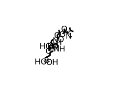 CC(OC(=O)[C@H](C(C)C)N(C)C)OC(=O)N1CC[C@H]2[C@@H]1CN[C@@]2(CCCCB(O)O)C(=O)O